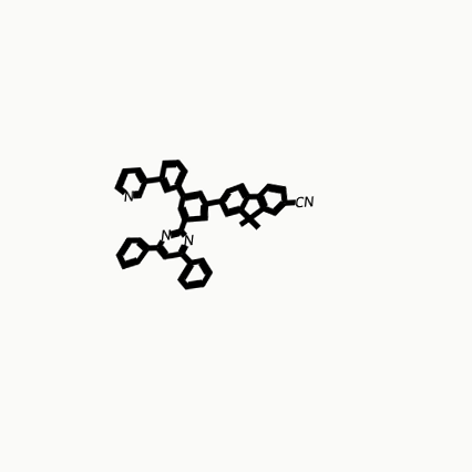 CC1(C)c2cc(C#N)ccc2-c2ccc(-c3cc(-c4cccc(-c5cccnc5)c4)cc(-c4nc(-c5ccccc5)cc(-c5ccccc5)n4)c3)cc21